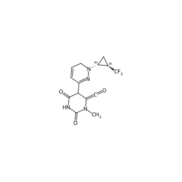 CN1C(=O)NC(=O)C(C2=NN([C@@H]3C[C@H]3C(F)(F)F)CC=C2)C1=C=O